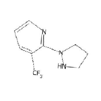 FC(F)(F)c1cccnc1N1CCCN1